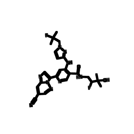 CC(C)(F)Cn1ccc(Nc2cc(-c3cnc4cc(C#N)cnn34)ncc2C(=O)NCC(F)C(C)(C)O)n1